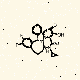 O=C1c2c(O)c(=O)ccn2N2[C@@H](c3ccccc3)c3cc(F)c(F)cc3CCC[C@@H]2N1C1CC1